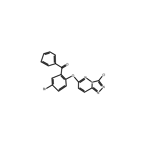 O=C(c1ccccc1)c1cc(Br)ccc1Oc1ccc2nnc(Cl)n2n1